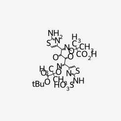 CC(C)(C)OC(=O)C(C)(C)ON=C(C(=O)C(=O)C(=NOC(C)(C)C(=O)O)c1csc(N)n1)c1csc(NS(=O)(=O)O)n1